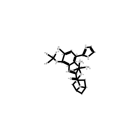 CC(C)(C)OC(=O)N1C2CC1CN(c1nc3c(OC(F)(F)F)c(Cl)cc(-c4nccs4)c3o1)C2